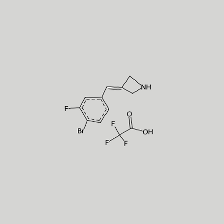 Fc1cc(C=C2CNC2)ccc1Br.O=C(O)C(F)(F)F